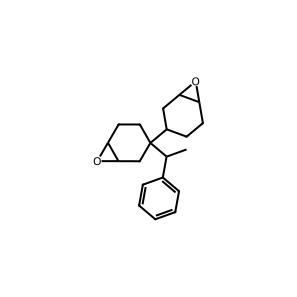 CC(c1ccccc1)C1(C2CCC3OC3C2)CCC2OC2C1